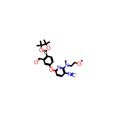 [C-]#[N+]c1ccc(Oc2ccc(B3OC(C)(C)C(C)(C)O3)c(C=O)c2)nc1N(C)CCOC